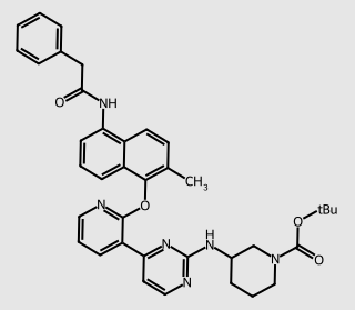 Cc1ccc2c(NC(=O)Cc3ccccc3)cccc2c1Oc1ncccc1-c1ccnc(NC2CCCN(C(=O)OC(C)(C)C)C2)n1